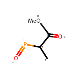 COC(=O)C(C)P=O